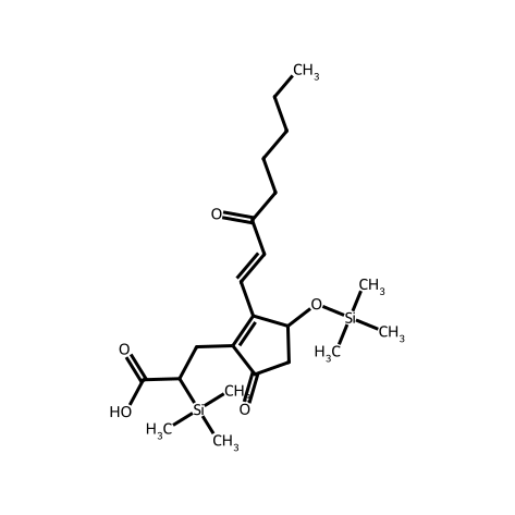 CCCCCC(=O)C=CC1=C(CC(C(=O)O)[Si](C)(C)C)C(=O)CC1O[Si](C)(C)C